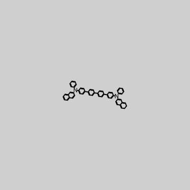 C1=c2ccc(N(c3ccccc3)c3ccc(-c4ccc(-c5ccc(-c6ccc(N(c7ccccc7)c7ccc8ccccc8c7)cc6)cc5)cc4)cc3)cc2=CCC1